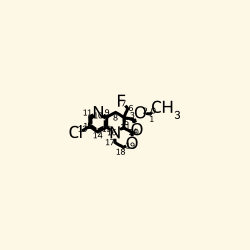 CCOC(=O)C1(CF)Cc2ncc(Cl)cc2N2CCOCC21